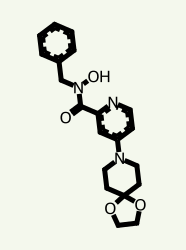 O=C(c1cc(N2CCC3(CC2)OCCO3)ccn1)N(O)Cc1ccccc1